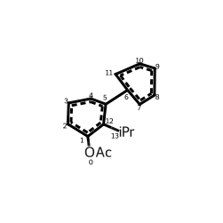 CC(=O)Oc1cccc(-c2ccccc2)c1C(C)C